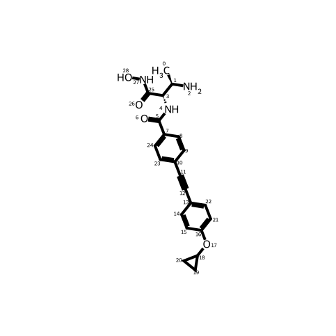 C[C@@H](N)[C@H](NC(=O)c1ccc(C#Cc2ccc(OC3CC3)cc2)cc1)C(=O)NO